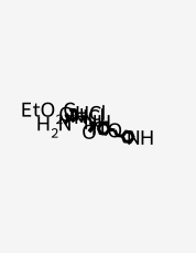 CCOC(=O)CN(CCNC(=O)N1CCC(OCC2CCNCC2)CC1)CC(N)=O.Cl.Cl